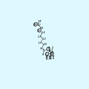 CCO[Si](C)(OCC)OC(C)CCCCCCOCC1CO1